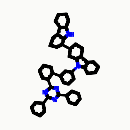 c1ccc(-c2nc(-c3ccccc3)nc(-c3ccccc3-c3cccc(-n4c5ccccc5c5ccc(-c6cccc7c6[nH]c6ccccc67)cc54)c3)n2)cc1